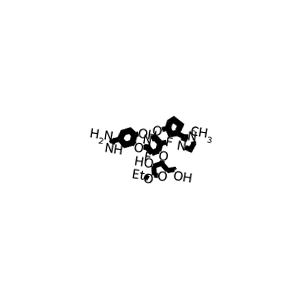 CCOC1OC(CO)C(Oc2c(F)c(Oc3cccc(C4=NCCN4C)c3)nc(Oc3cc(C(=N)N)ccc3O)c2F)C1O